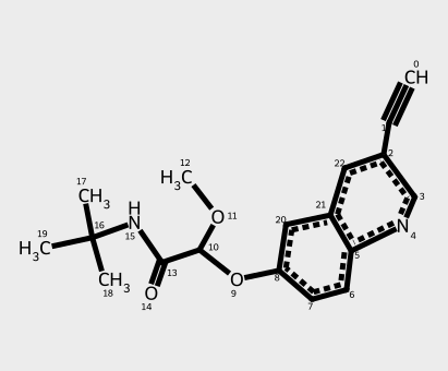 C#Cc1cnc2ccc(OC(OC)C(=O)NC(C)(C)C)cc2c1